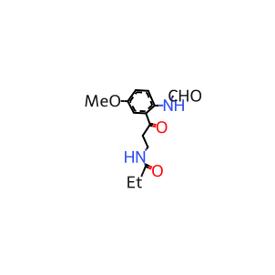 CCC(=O)NCCC(=O)c1cc(OC)ccc1NC=O